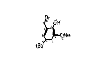 COc1cc(C(C)(C)C)cc(CBr)c1O